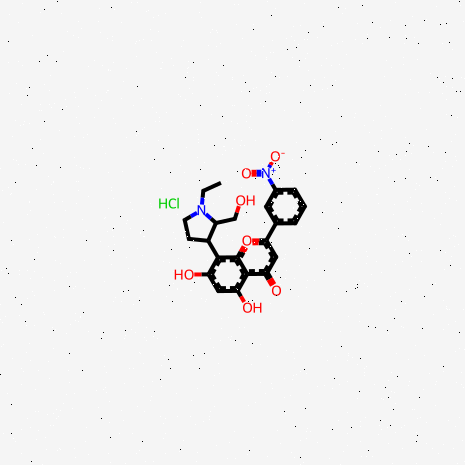 CCN1CCC(c2c(O)cc(O)c3c(=O)cc(-c4cccc([N+](=O)[O-])c4)oc23)C1CO.Cl